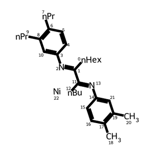 CCCCCCC(=N\c1ccc(CCC)c(CCC)c1)/C(CCCC)=N/c1ccc(C)c(C)c1.[Ni]